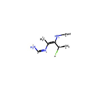 CCCCCN/C(=C(C)/N=C\N)[C@@H](C)F